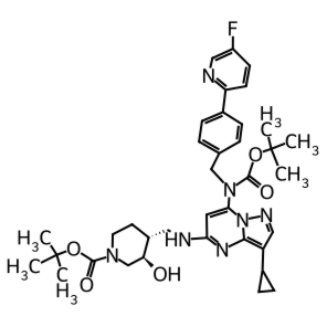 CC(C)(C)OC(=O)N1CC[C@H](CNc2cc(N(Cc3ccc(-c4ccc(F)cn4)cc3)C(=O)OC(C)(C)C)n3ncc(C4CC4)c3n2)[C@@H](O)C1